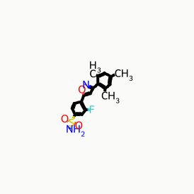 Cc1cc(C)c(-c2cc(-c3ccc(S(N)(=O)=O)cc3F)on2)c(C)c1